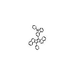 c1ccc(C2=C3C(=C(c4ccc5c(c4)c4ccccc4n5-c4ccccc4)c4c3ccc3ccccc43)c3ccc4ccccc4c32)cc1